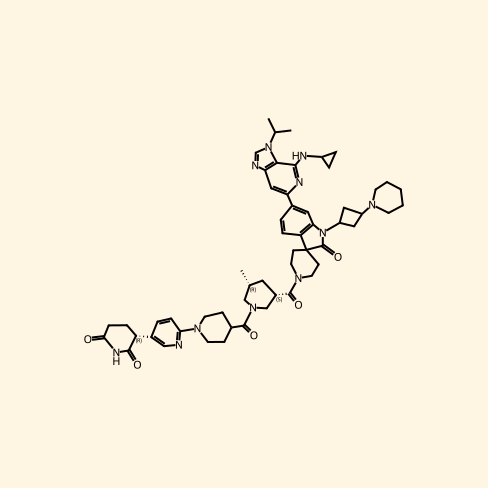 CC(C)n1cnc2cc(-c3ccc4c(c3)N(C3CC(N5CCCCC5)C3)C(=O)C43CCN(C(=O)[C@H]4C[C@@H](C)CN(C(=O)C5CCN(c6ccc([C@H]7CCC(=O)NC7=O)cn6)CC5)C4)CC3)nc(NC3CC3)c21